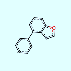 [c]1ccc(-c2cccc3occc23)cc1